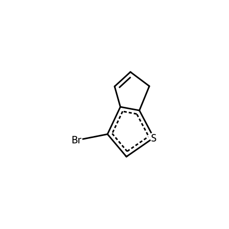 Brc1csc2c1C=CC2